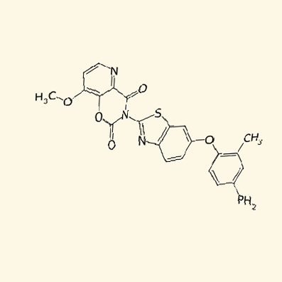 COc1ccnc2c(=O)n(-c3nc4ccc(Oc5ccc(P)cc5C)cc4s3)c(=O)oc12